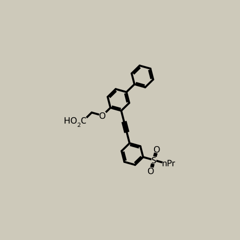 CCCS(=O)(=O)c1cccc(C#Cc2cc(-c3ccccc3)ccc2OCC(=O)O)c1